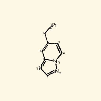 CC(C)Cc1ccn2ncnc2c1